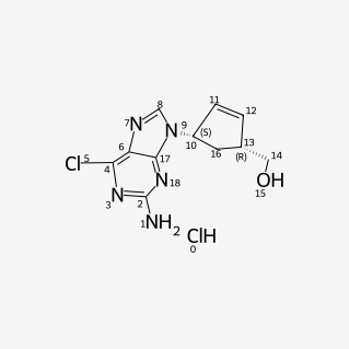 Cl.Nc1nc(Cl)c2ncn([C@@H]3C=C[C@H](CO)C3)c2n1